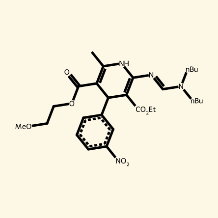 CCCCN(C=NC1=C(C(=O)OCC)C(c2cccc([N+](=O)[O-])c2)C(C(=O)OCCOC)=C(C)N1)CCCC